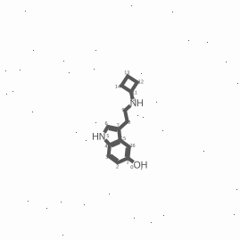 Oc1ccc2[nH]cc(CCNC3CCC3)c2c1